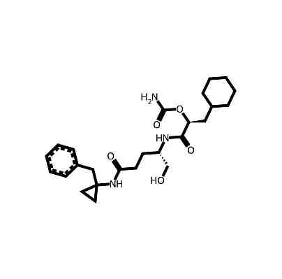 NC(=O)O[C@@H](CC1CCCCC1)C(=O)N[C@H](CO)CCC(=O)NC1(Cc2ccccc2)CC1